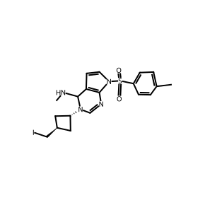 CNC1c2ccn(S(=O)(=O)c3ccc(C)cc3)c2N=CN1[C@H]1C[C@H](CI)C1